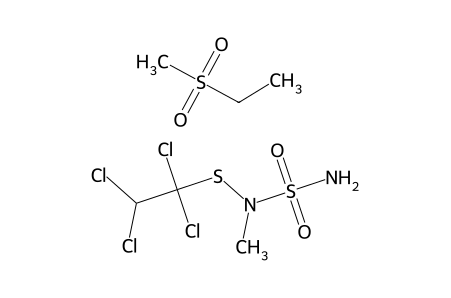 CCS(C)(=O)=O.CN(SC(Cl)(Cl)C(Cl)Cl)S(N)(=O)=O